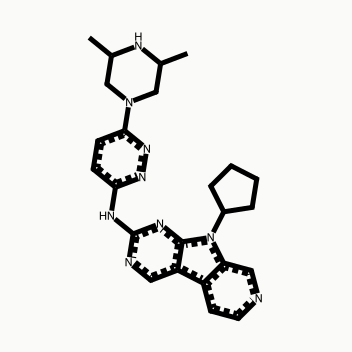 CC1CN(c2ccc(Nc3ncc4c5ccncc5n(C5CCCC5)c4n3)nn2)CC(C)N1